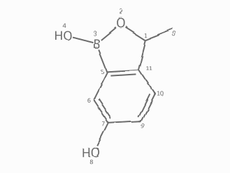 CC1OB(O)c2cc(O)ccc21